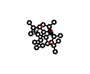 c1ccc(-c2cc(-c3ccccc3)cc(-c3cccc(-c4cc(-c5cccc(-c6cc(-c7ccccc7)cc(-c7ccccc7)c6)c5)cc(C5(c6cc(-c7cccc(-c8cc(-c9ccccc9)cc(-c9ccccc9)c8)c7)cc(-c7cccc(-c8cc(-c9ccccc9)cc(-c9ccccc9)c8)c7)c6)c6cc7c(cc6-c6c5ccc5c6-c6ccccc6C56c5ccccc5-c5ccccc56)OCO7)c4)c3)c2)cc1